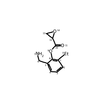 CCc1cccc(CN)c1OC(=O)C1CO1